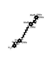 COc1cc(C2NC(=O)c3cc(C)ccc3N2)ccc1OCCCCCCCCCCOc1c(OC)cc(-c2cc(-c3cc(OC)c(OC)c(OC)c3)on2)cc1OC